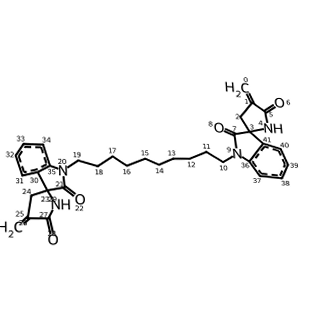 C=C1CC2(NC1=O)C(=O)N(CCCCCCCCCCN1C(=O)C3(CC(=C)C(=O)N3)c3ccccc31)c1ccccc12